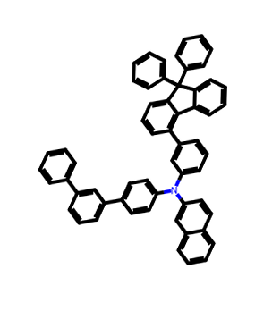 c1ccc(-c2cccc(-c3ccc(N(c4cccc(-c5cccc6c5-c5ccccc5C6(c5ccccc5)c5ccccc5)c4)c4ccc5ccccc5c4)cc3)c2)cc1